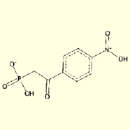 O=C(CP(=O)([O-])O)c1ccc([N+](=O)O)cc1